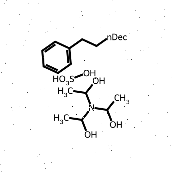 CC(O)N(C(C)O)C(C)O.CCCCCCCCCCCCc1ccccc1.O=S(=O)(O)O